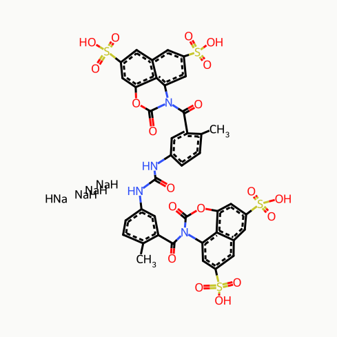 Cc1ccc(NC(=O)Nc2ccc(C)c(C(=O)N3C(=O)Oc4cc(S(=O)(=O)O)cc5cc(S(=O)(=O)O)cc3c45)c2)cc1C(=O)N1C(=O)Oc2cc(S(=O)(=O)O)cc3cc(S(=O)(=O)O)cc1c23.[NaH].[NaH].[NaH].[NaH]